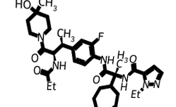 CCC(=O)N[C@@H](C(=O)N1CCC(C)(O)CC1)[C@@H](C)c1ccc(NC(=O)[C@](C)(NC(=O)c2ccnn2CC)C2CCCCCC2)c(F)c1